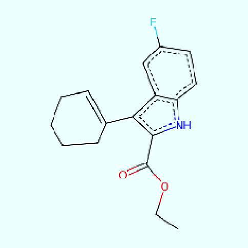 CCOC(=O)c1[nH]c2ccc(F)cc2c1C1=CCCCC1